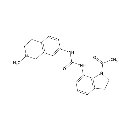 CC(=O)N1CCc2cccc(NC(=O)Nc3ccc4c(c3)CN(C)CC4)c21